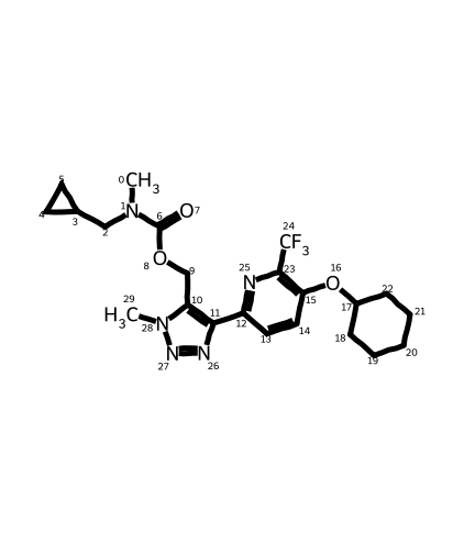 CN(CC1CC1)C(=O)OCc1c(-c2ccc(OC3CCCCC3)c(C(F)(F)F)n2)nnn1C